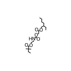 CCCCC(CC)COC(=O)COC(=O)NCCOC(=O)C(C)(C)CC